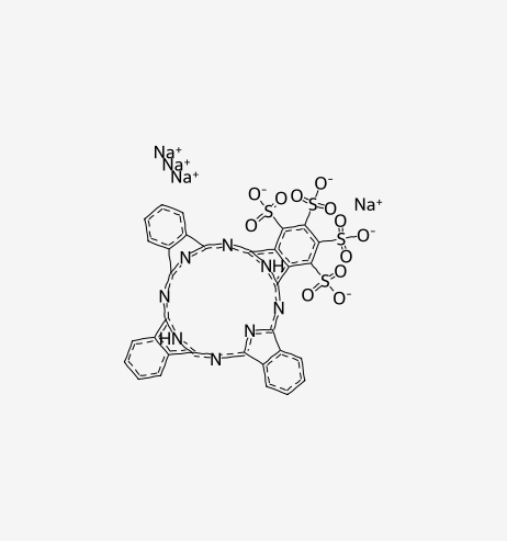 O=S(=O)([O-])c1c(S(=O)(=O)[O-])c(S(=O)(=O)[O-])c2c3nc4nc(nc5[nH]c(nc6nc(nc([nH]3)c2c1S(=O)(=O)[O-])-c1ccccc1-6)c1ccccc51)-c1ccccc1-4.[Na+].[Na+].[Na+].[Na+]